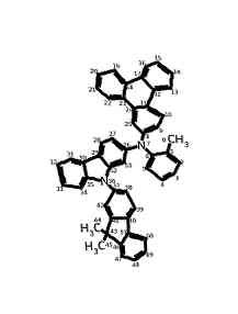 Cc1ccccc1N(c1ccc2c3ccccc3c3ccccc3c2c1)c1ccc2c3ccccc3n(-c3ccc4c(c3)C(C)(C)c3ccccc3-4)c2c1